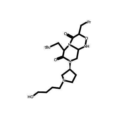 CC(C)CC1ONC2CN([C@H]3CCN(CCCCO)C3)C(=O)C(CC(C)(C)C)N2C1=O